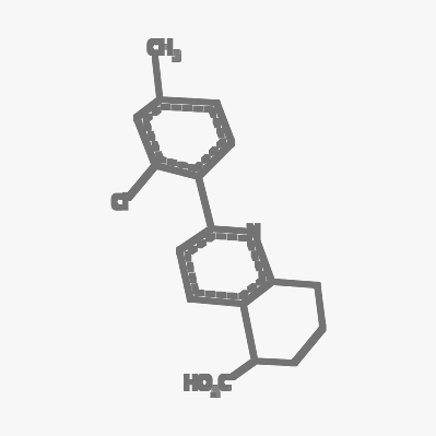 Cc1ccc(-c2ccc3c(n2)CCCC3C(=O)O)c(Cl)c1